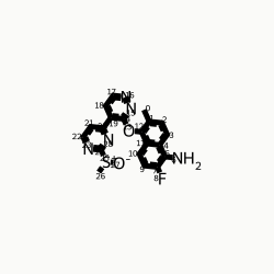 Cc1ccc2c(N)c(F)ccc2c1Oc1nnccc1-c1ccnc([S+](C)[O-])n1